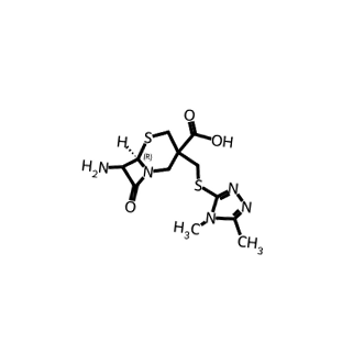 Cc1nnc(SCC2(C(=O)O)CS[C@@H]3C(N)C(=O)N3C2)n1C